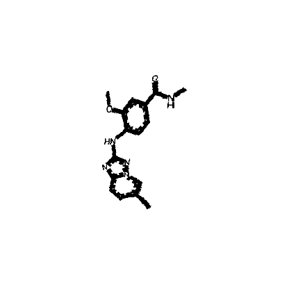 CNC(=O)c1ccc(Nc2nc3ccc(C)cn3n2)c(OC)c1